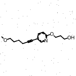 COCCCCC#Cc1ccc(OCCCO)nc1